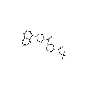 CC(C)(C)OC(=O)N1CCC[C@H](C(=O)N2CCN(c3ccnc4ccccc34)CC2)C1